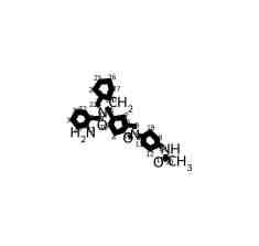 C=C(c1ccc2c(c1)CN(c1ccc(NC(C)=O)cc1)O2)N(Cc1ccccc1)C(=O)c1ccccc1N